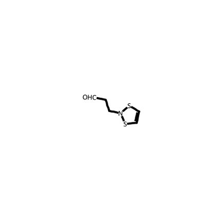 O=CCCN1SC=CS1